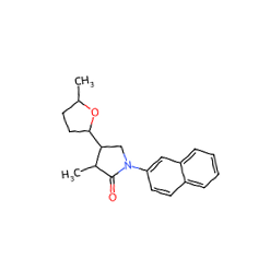 CC1CCC(C2CN(c3ccc4ccccc4c3)C(=O)C2C)O1